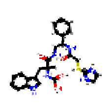 CC(Cc1c[nH]c2ccccc12)(NC(=O)O)C(=O)NCC(NC(=O)CSc1ncc[nH]1)c1ccccc1